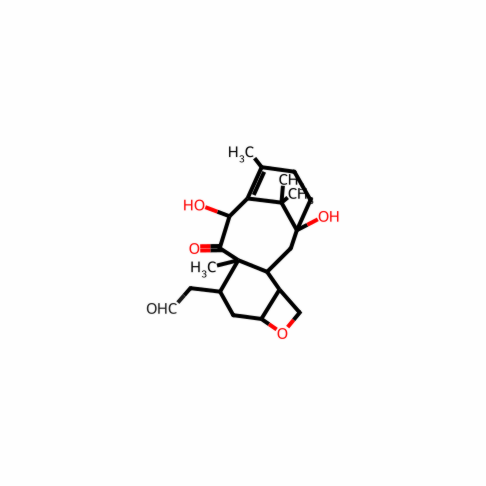 CC1=C2C(O)C(=O)C3(C)C(CC=O)CC4OCC4C3CC(O)(CC1)C2(C)C